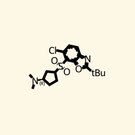 CN(C)[C@@H]1CCC(S(=O)(=O)c2c(Cl)ccc3nc(C(C)(C)C)oc23)C1